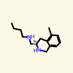 CCCCNC[C@H]1Cc2c(C)cccc2CN1